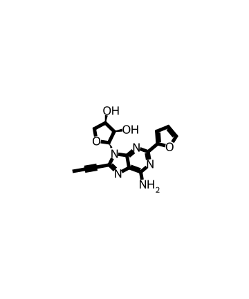 CC#Cc1nc2c(N)nc(-c3ccco3)nc2n1[C@@H]1OC[C@@H](O)[C@H]1O